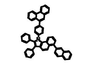 c1ccc(-c2c(-c3ccccc3)n(-c3ccc(-c4cc5ccccc5c5ccccc45)cc3)c3c2ccc2c(-c4ccc5ccccc5c4)cccc23)cc1